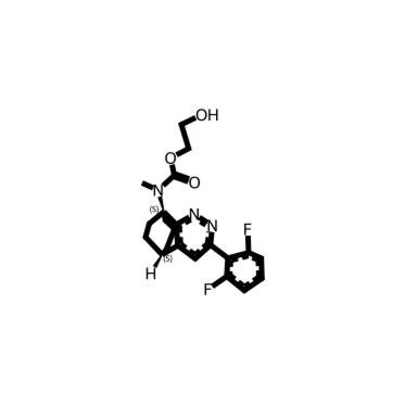 CN(C(=O)OCCO)[C@@]12CCC[C@@H](CC1)c1cc(-c3c(F)cccc3F)nnc12